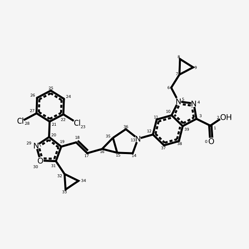 O=C(O)c1nn(CC2CC2)c2cc(N3CC4C(C=Cc5c(-c6c(Cl)cccc6Cl)noc5C5CC5)C4C3)ccc12